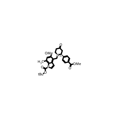 COC(=O)c1ccc([C@@H]2CC(=O)CCN2Cc2c(OC)cc(C)c3c2ccn3C(=O)OC(C)(C)C)cc1